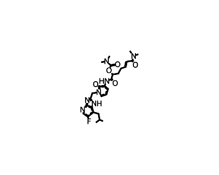 CC(C)Cc1c(F)cnc2nc(Cn3cccc(NC(=O)C(CC/C=C/C(=O)N(C)C)OC(=O)N(C)C)c3=O)[nH]c12